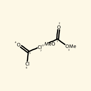 COC(=O)OC.O=C(Cl)Cl